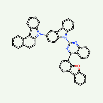 c1ccc2c(c1)ccc1c2c2ccccc2n1-c1ccc2c(c1)c1ccccc1n2-c1nc(-c2cccc3c2oc2ccccc23)c2ccccc2n1